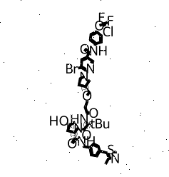 Cc1ncsc1-c1ccc(CNC(=O)[C@@H]2C[C@@H](O)CN2C(=O)[C@@H](NC(=O)CCOC[C@H]2CCN(c3ncc(C(=O)Nc4ccc(OC(F)(F)Cl)cc4)cc3Br)C2)C(C)(C)C)cc1